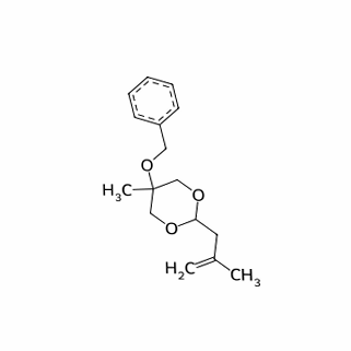 C=C(C)CC1OCC(C)(OCc2ccccc2)CO1